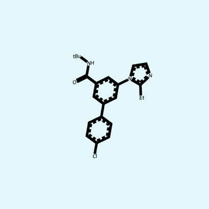 CCc1nccn1-c1cc(C(=O)NC(C)(C)C)cc(-c2ccc(Cl)cc2)c1